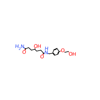 NC(=O)CCC(O)CCC(=O)NCc1ccc(OCCO)cc1